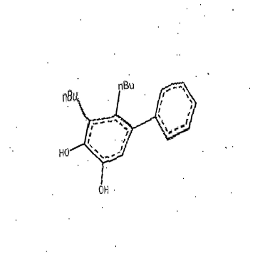 CCCCc1c(-c2ccccc2)cc(O)c(O)c1CCCC